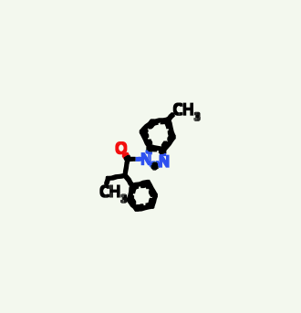 CCC(C(=O)n1cnc2cc(C)ccc21)c1ccccc1